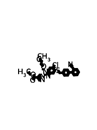 CCOC(=O)c1cnn(-c2nc3cc(SCc4ccc(-c5ccccc5C#N)cc4)c(Cl)cc3n2COCCOC)c1